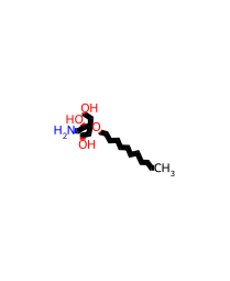 CCCCCCCCCCCCOC(CCO)(CCO)C(O)CN